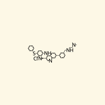 CN(C)CCNCc1cccc(-c2ccc3c(Nc4ccc(Sc5ccccc5)c(Cl)c4)c(C#N)cnc3c2)c1